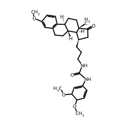 COc1ccc2c(c1)CC[C@H]1[C@@H]3[C@H](CCCNC(=O)NC4=CC(OC)C(OC)C=C4)CC(=O)[C@@]3(C)CC[C@H]21